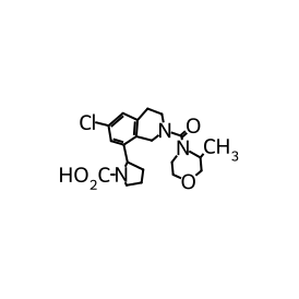 CC1COCCN1C(=O)N1CCc2cc(Cl)cc(C3CCCN3C(=O)O)c2C1